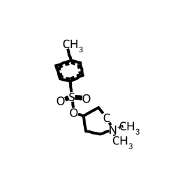 Cc1ccc(S(=O)(=O)OC2CC[N+](C)(C)CC2)cc1